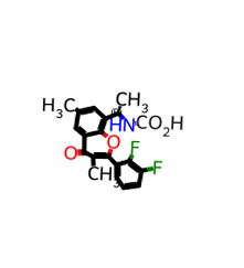 Cc1cc([C@@H](C)NC(=O)O)c2oc(-c3cccc(F)c3F)c(C)c(=O)c2c1